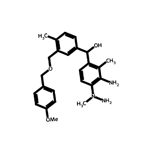 COc1ccc(COCc2cc(C(O)c3ccc(N(C)N)c(N)c3C)ccc2C)cc1